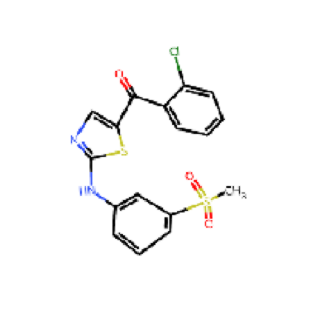 CS(=O)(=O)c1cccc(Nc2ncc(C(=O)c3ccccc3Cl)s2)c1